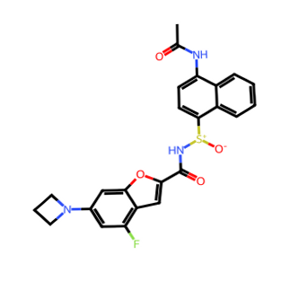 CC(=O)Nc1ccc([S+]([O-])NC(=O)c2cc3c(F)cc(N4CCC4)cc3o2)c2ccccc12